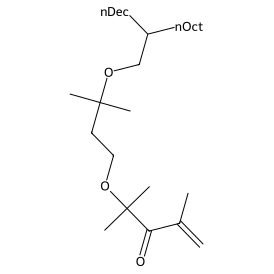 C=C(C)C(=O)C(C)(C)OCCC(C)(C)OCC(CCCCCCCC)CCCCCCCCCC